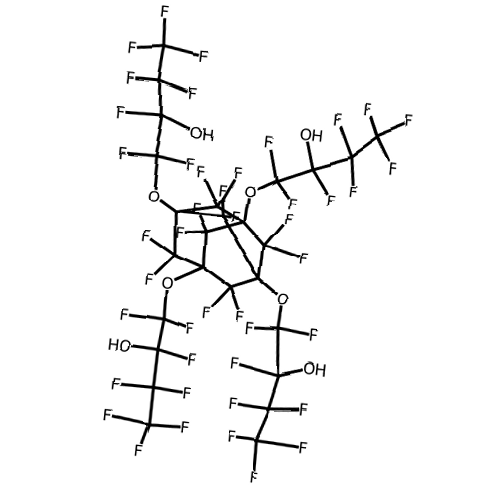 OC(F)(C(F)(F)OC12C(F)(F)C3(OC(F)(F)C(O)(F)C(F)(F)C(F)(F)F)C(F)(F)C(OC(F)(F)C(O)(F)C(F)(F)C(F)(F)F)(C1(F)F)C(F)(F)C(OC(F)(F)C(O)(F)C(F)(F)C(F)(F)F)(C2(F)F)C3(F)F)C(F)(F)C(F)(F)F